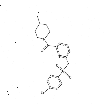 CCc1ccc(S(=O)(=O)Cc2cccc(C(=O)N3CCC(C)CC3)n2)cc1